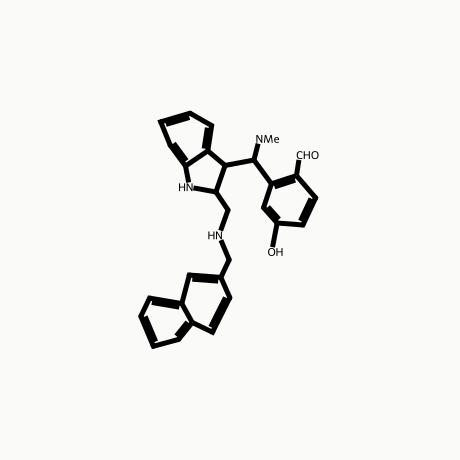 CNC(c1cc(O)ccc1C=O)C1c2ccccc2NC1CNCc1ccc2ccccc2c1